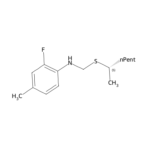 CCCCC[C@H](C)SCNc1ccc(C)cc1F